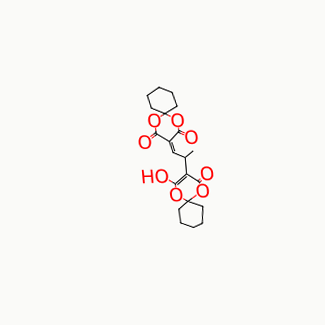 CC(C=C1C(=O)OC2(CCCCC2)OC1=O)C1=C(O)OC2(CCCCC2)OC1=O